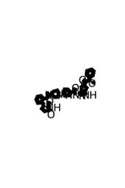 CO[C@@H](C(=O)N1Cc2[nH]nc(NC(=O)c3ccc(N4CCC(N(C)Cc5ccccc5N5CCC(=O)NC5=O)CC4)cc3)c2C1)c1ccccc1